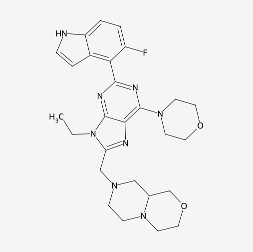 CCn1c(CN2CCN3CCOCC3C2)nc2c(N3CCOCC3)nc(-c3c(F)ccc4[nH]ccc34)nc21